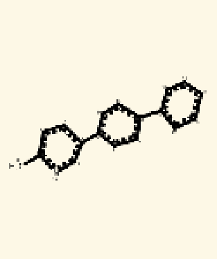 Cc1ccc(-c2ccc(-c3ccccc3)cc2)cn1